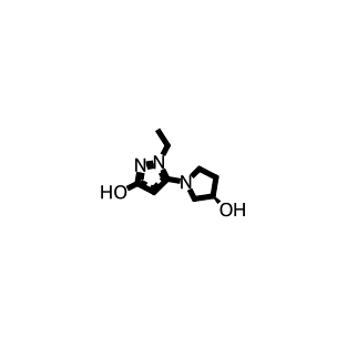 CCn1nc(O)cc1N1CC[C@@H](O)C1